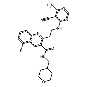 N#Cc1c(N)ncnc1NCCc1nc2cccc(F)c2cc1C(=O)NCC1CCOCC1